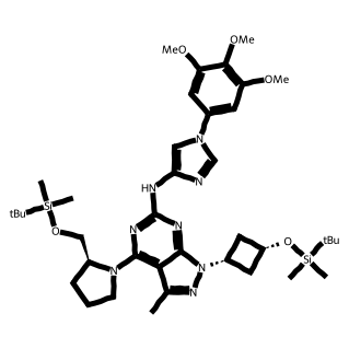 COc1cc(-n2cnc(Nc3nc(N4CCC[C@H]4CO[Si](C)(C)C(C)(C)C)c4c(C)nn([C@H]5C[C@@H](O[Si](C)(C)C(C)(C)C)C5)c4n3)c2)cc(OC)c1OC